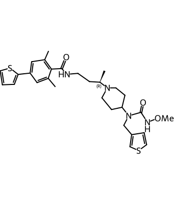 CONC(=O)N(Cc1ccsc1)C1CCN([C@H](C)CCNC(=O)c2c(C)cc(-c3cccs3)cc2C)CC1